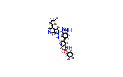 Cc1ccc(-c2cncc3[nH]c(-c4n[nH]c5ccc(-c6cncc(NC(=O)c7ccccc7)c6)cc45)cc23)s1